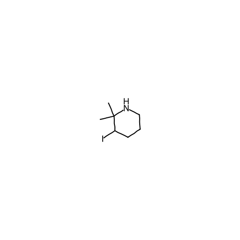 CC1(C)NCCCC1I